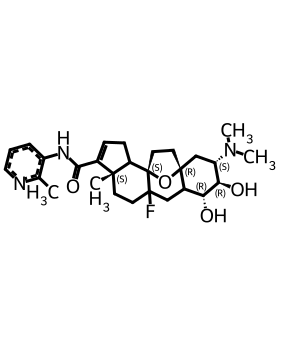 Cc1ncccc1NC(=O)C1=CCC2[C@@]34CC[C@]5(C[C@H](N(C)C)[C@@H](O)[C@H](O)C5CC3(F)CC[C@]12C)O4